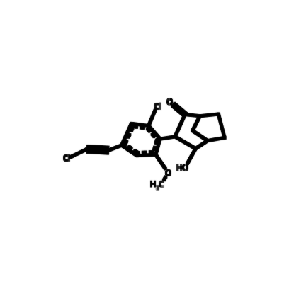 COc1cc(C#CCl)cc(Cl)c1C1C(=O)C2CCC(C2)C1O